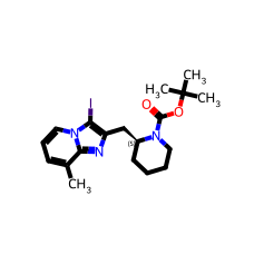 Cc1cccn2c(I)c(C[C@@H]3CCCCN3C(=O)OC(C)(C)C)nc12